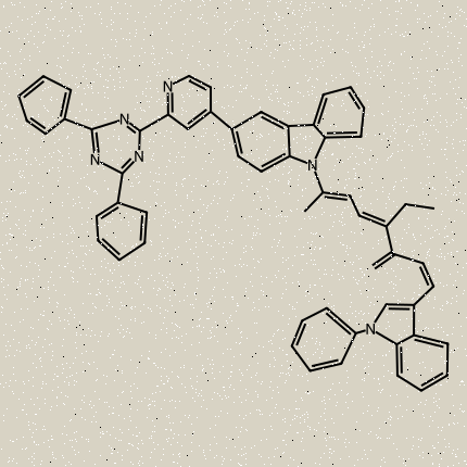 C=C(/C=C\c1cn(-c2ccccc2)c2ccccc12)/C(=C/C=C(\C)n1c2ccccc2c2cc(-c3ccnc(-c4nc(-c5ccccc5)nc(-c5ccccc5)n4)c3)ccc21)CC